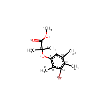 COC(=O)C(C)(C)Oc1cc(C)c(C)c(Br)c1C